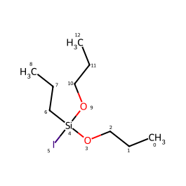 CCCO[Si](I)(CCC)OCCC